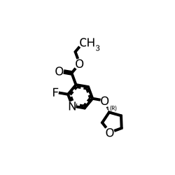 CCOC(=O)c1cc(O[C@@H]2CCOC2)cnc1F